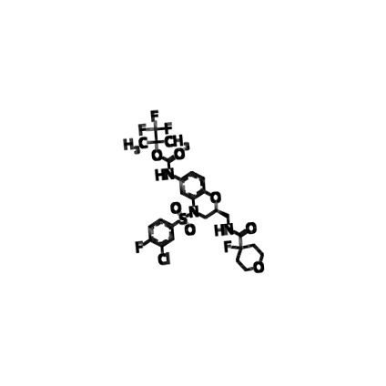 CC(C)(OC(=O)Nc1ccc2c(c1)N(S(=O)(=O)c1ccc(F)c(Cl)c1)C[C@H](CNC(=O)C1(F)CCOCC1)O2)C(F)(F)F